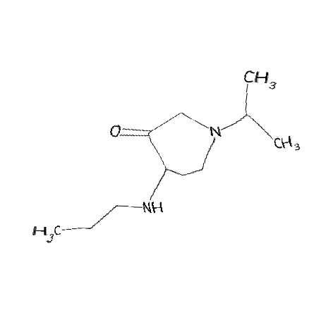 CCCNC1CN(C(C)C)CC1=O